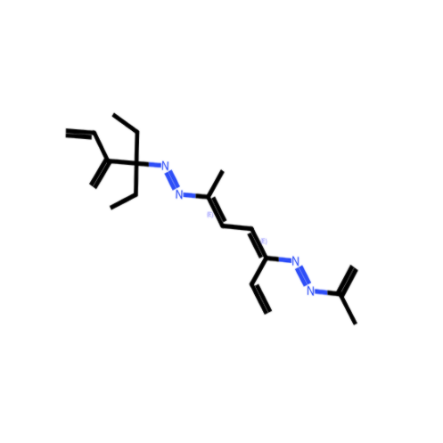 C=CC(=C)C(CC)(CC)N=N/C(C)=C/C=C(\C=C)N=NC(=C)C